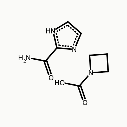 NC(=O)c1ncc[nH]1.O=C(O)N1CCC1